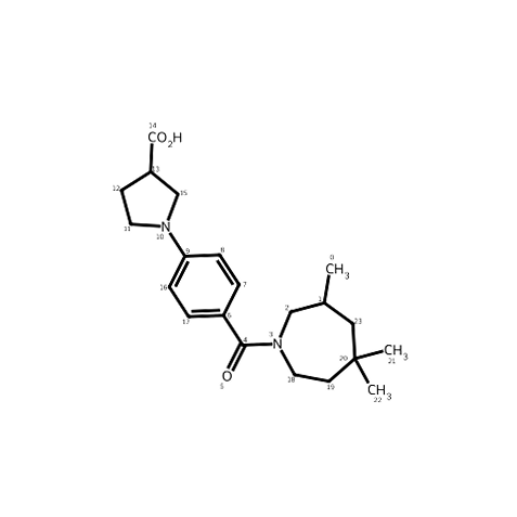 CC1CN(C(=O)c2ccc(N3CCC(C(=O)O)C3)cc2)CCC(C)(C)C1